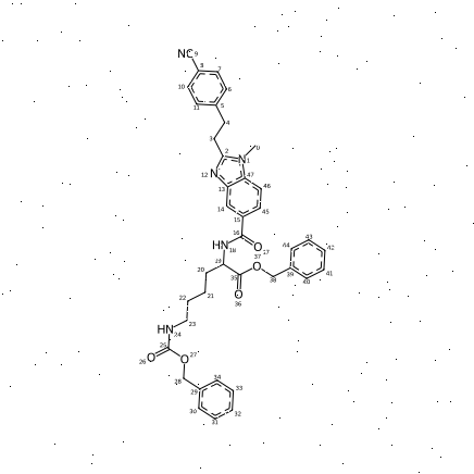 Cn1c(CCc2ccc(C#N)cc2)nc2cc(C(=O)NC(CCCCNC(=O)OCc3ccccc3)C(=O)OCc3ccccc3)ccc21